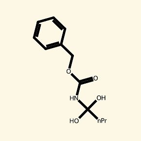 CCCC(O)(O)NC(=O)OCc1ccccc1